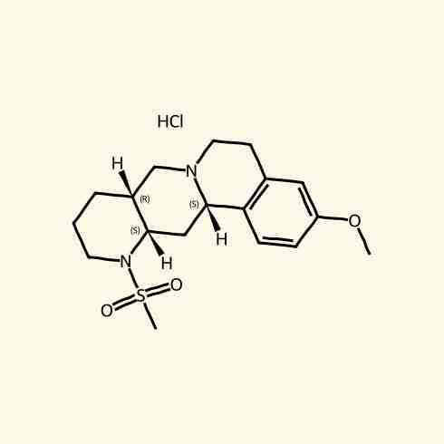 COc1ccc2c(c1)CCN1C[C@H]3CCCN(S(C)(=O)=O)[C@H]3C[C@@H]21.Cl